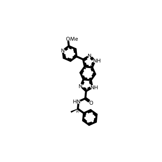 COc1cc(-c2n[nH]c3cc4[nH]c(C(=O)N[C@H](C)c5ccccc5)nc4cc23)ccn1